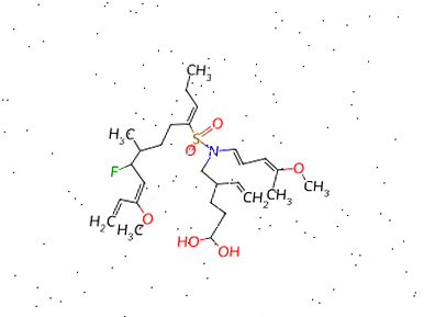 C=C/C(=C\C(F)C(C)CC/C(=C\CC)S(=O)(=O)N(/C=C/C=C(\C)OC)CC(C=C)CCC(O)O)OC